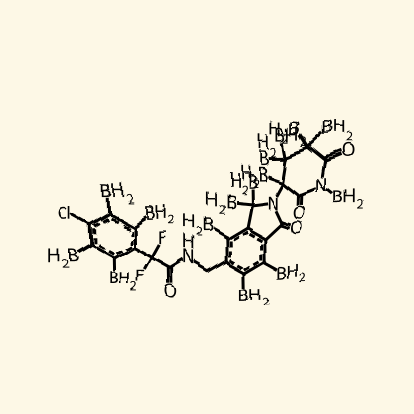 Bc1c(B)c(C(F)(F)C(=O)NCc2c(B)c(B)c3c(c2B)C(B)(B)N(C2(B)C(=O)N(B)C(=O)C(B)(B)C2(B)B)C3=O)c(B)c(B)c1Cl